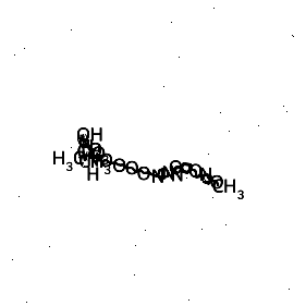 COc1ccc(COc2ccc3oc(N4CCN(CCOCCOCCOCCOCC(=O)N[C@H](C(=O)N5CC[C@@H](O)C5)C(C)(C)C)CC4)nc3c2)nc1